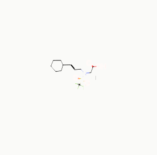 C[C@@H](C(=O)O)N(C/C=C/C1CCCCC1)S(=O)(=O)C(F)(F)F